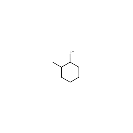 CC(C)C1[C]CCCC1C